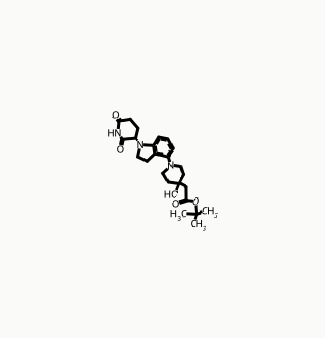 CC(C)(C)OC(=O)CC1(O)CCN(c2cccc3c2CCN3[C@@H]2CCC(=O)NC2=O)CC1